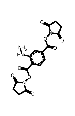 NNc1cc(C(=O)ON2C(=O)CCC2=O)ccc1C(=O)ON1C(=O)CCC1=O